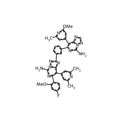 COc1cc(-c2c(-c3cccc(-c4nc5c(-c6cc(C)nc(C)c6)c(-c6ccc(F)cc6OC)nc(N)n5n4)c3)nc(N)n3ncnc23)cc(C)n1